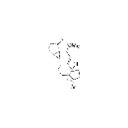 C=C1CCC2CC12C(C=C1CCC[C@]2(C)[C@@H](C(C)=O)CC[C@@H]12)OC